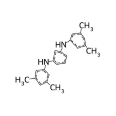 Cc1cc(C)cc(Nc2cccc(Nc3cc(C)cc(C)c3)c2)c1